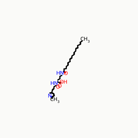 CCC=CCC=CCC=CCC=CCC=CCCCC(=O)NCCCC[C@H](NC(=O)CC=Cc1ccc(C)nc1)C(=O)O